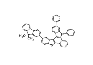 CC1(C)c2ccccc2-c2ccc(-c3ccc4sc5c6ccccc6c6c(c7ccc(-c8ccccc8)cc7n6-c6ccccc6)c5c4c3)cc21